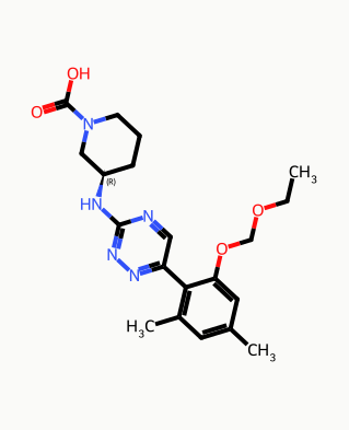 CCOCOc1cc(C)cc(C)c1-c1cnc(N[C@@H]2CCCN(C(=O)O)C2)nn1